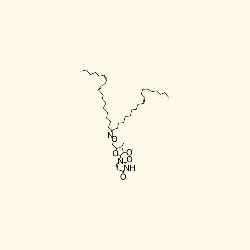 CCCCC/C=C\C/C=C\CCCCCCCCC(CCCCCCCC/C=C\C/C=C\CCCCC)=NOCC1OC(n2ccc(=O)[nH]c2=O)C(OC)C1C